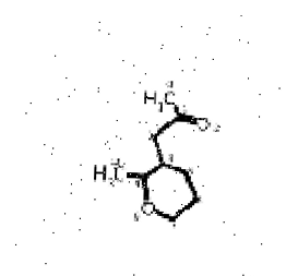 CC(=O)CC1CCCOC1C